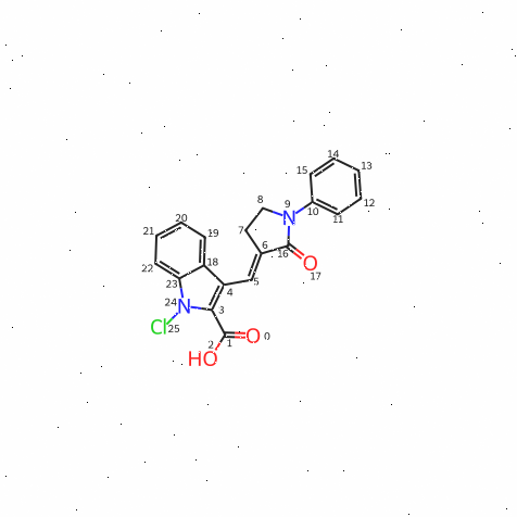 O=C(O)c1c(C=C2CCN(c3ccccc3)C2=O)c2ccccc2n1Cl